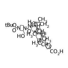 C=C(C)[C@@H]1CC[C@]2(NC(=O)N3CCN(C(=O)OC(C)(C)C)CC3CO)CC[C@]3(C)[C@H](CC[C@@H]4[C@@]5(C)CC=C(c6ccc(C(=O)O)cc6)C(C)(C)[C@@H]5CC[C@]43C)[C@@H]12